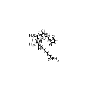 BC(=O)CCCCCSCNC(=O)[C@H](C)NC(=O)[C@@H](C)NC(=O)[C@H](C)NC(=O)CCN1C(=O)C=CC1=O